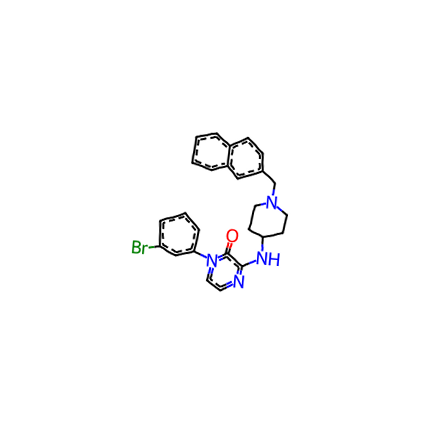 O=c1c(NC2CCN(Cc3ccc4ccccc4c3)CC2)nccn1-c1cccc(Br)c1